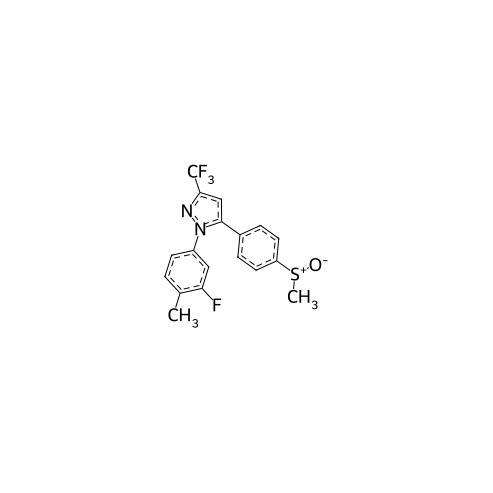 Cc1ccc(-n2nc(C(F)(F)F)cc2-c2ccc([S+](C)[O-])cc2)cc1F